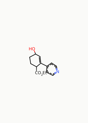 CCOC(=O)C1CCC(O)C=C1c1ccncc1